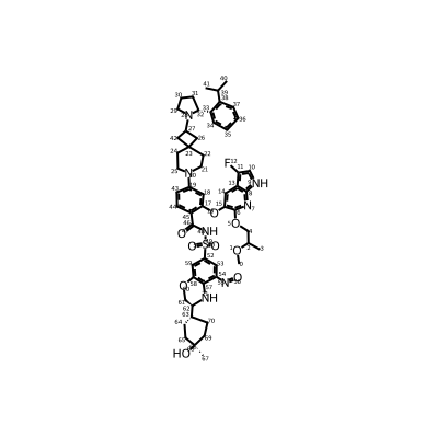 COC(C)COc1nc2[nH]cc(F)c2cc1Oc1cc(N2CCC3(CC2)CC(N2CCC[C@@H]2c2ccccc2C(C)C)C3)ccc1C(=O)NS(=O)(=O)c1cc(N=O)c2c(c1)OC[C@H]([C@H]1CC[C@](C)(O)CC1)N2